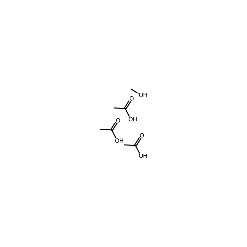 CC(=O)O.CC(=O)O.CC(=O)O.CO